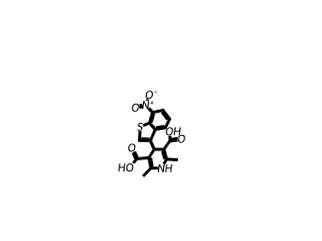 CC1=C(C(=O)O)C(c2csc3c([N+](=O)[O-])cccc23)C(C(=O)O)=C(C)N1